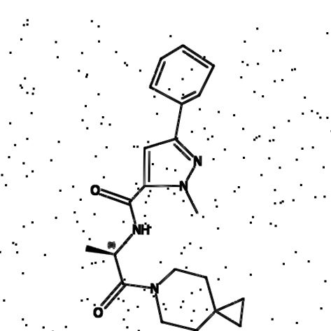 C[C@@H](NC(=O)c1cc(-c2ccccc2)nn1C)C(=O)N1CCC2(CC1)CC2